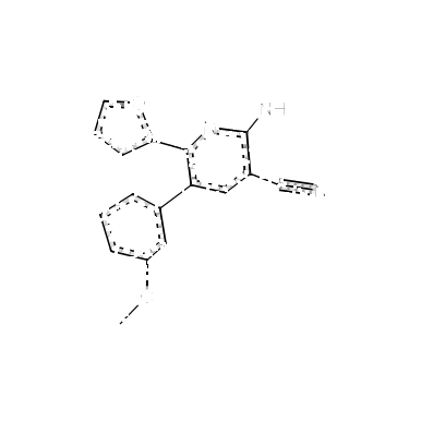 COc1cccc(-c2cc(C#N)c(N)nc2-c2ccco2)c1